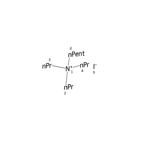 CCCCC[N+](CCC)(CCC)CCC.[I-]